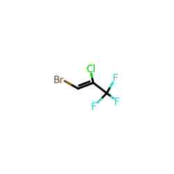 FC(F)(F)C(Cl)=CBr